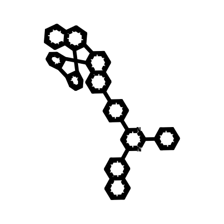 c1ccc(-c2nc(-c3ccc(-c4ccc5c6c(ccc5c4)-c4ccc5ccccc5c4C64c5ccccc5-c5ccccc54)cc3)cc(-c3ccc4ccccc4c3)n2)cc1